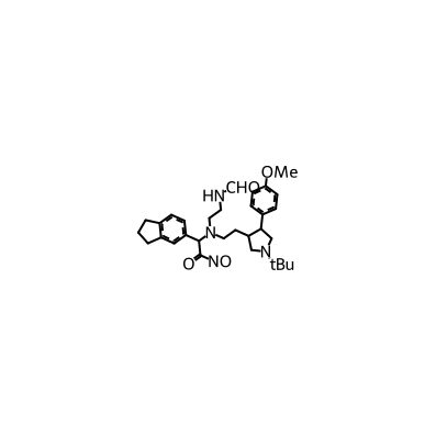 COc1ccc(C2CN(C(C)(C)C)CC2CCN(CCNC=O)C(C(=O)N=O)c2ccc3c(c2)CCC3)cc1